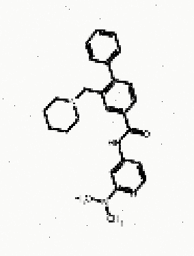 CN(C)c1cc(NC(=O)c2ccc(-c3ccccc3)c(CN3CCCCC3)c2)ccn1